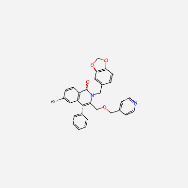 O=c1c2ccc(Br)cc2c(-c2ccccc2)c(COCc2ccncc2)n1Cc1ccc2c(c1)OCO2